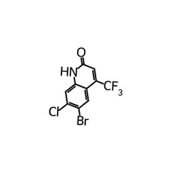 O=c1cc(C(F)(F)F)c2cc(Br)c(Cl)cc2[nH]1